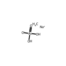 C.O=[As]([O-])(O)O.[Na+]